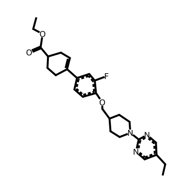 CCOC(=O)C1CC=C(c2ccc(OCC3CCN(c4ncc(CC)cn4)CC3)c(F)c2)CC1